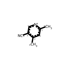 Cc1cc(C)c(C#N)cn1